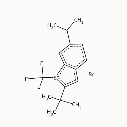 CC(C)c1ccc2cc(C(C)(C)C)[s+](C(F)(F)F)c2c1.[Br-]